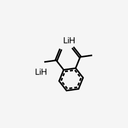 C=C(C)c1ccccc1C(=C)C.[LiH].[LiH]